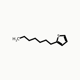 CCCCCCCc1cccs1